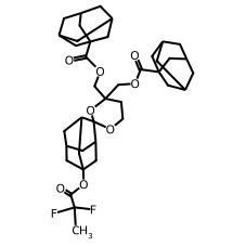 CC(F)(F)C(=O)OC12CC3CC(C1)C1(OCCC(COC(=O)C45CC6CC(CC(C6)C4)C5)(COC(=O)C45CC6CC(CC(C6)C4)C5)O1)C(C3)C2